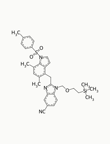 Cc1ccc(S(=O)(=O)n2ccc3c(Cc4nc5cc(C#N)ccc5n4COCC[Si](C)(C)C)c(C)cc(C)c32)cc1